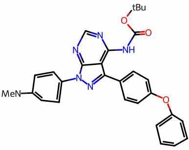 CNc1ccc(-n2nc(-c3ccc(Oc4ccccc4)cc3)c3c(NC(=O)OC(C)(C)C)ncnc32)cc1